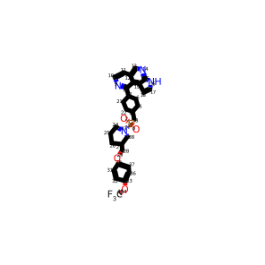 O=S(=O)(CC1CCC(c2nccc3cnc4[nH]ccc4c23)CC1)N1CCCC(COc2ccc(OC(F)(F)F)cc2)C1